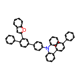 c1ccc(-c2ccc(-c3ccccc3N(c3ccccc3)c3ccc(-c4ccc(-c5ccccc5)c(-c5cc6ccccc6o5)c4)cc3)cc2)cc1